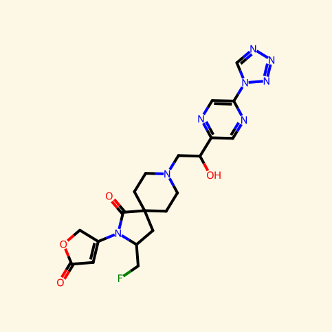 O=C1C=C(N2C(=O)C3(CCN(CC(O)c4cnc(-n5cnnn5)cn4)CC3)CC2CF)CO1